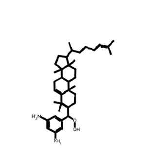 CC(C)=CCCCC(C)C1CCC2(C)C3CC=C4C(C)(C)C(C(OO)c5cc(N)cc(N)c5)CCC4(C)C3CCC12C